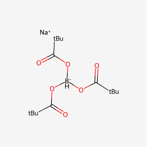 CC(C)(C)C(=O)O[BH-](OC(=O)C(C)(C)C)OC(=O)C(C)(C)C.[Na+]